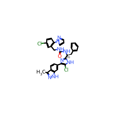 Cc1n[nH]c2cc(-c3nc([C@H](Cc4ccccc4)NC(=O)NCc4cc(Cl)ccc4-n4cccn4)[nH]c3Cl)ccc12